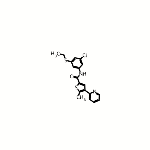 CCSc1cc(Cl)cc(NC(=O)c2cc(-c3ccccn3)c(C)s2)c1